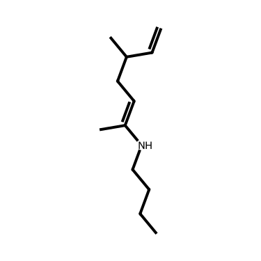 C=CC(C)C/C=C(\C)NCCCC